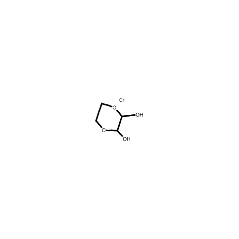 OC1OCCOC1O.[Cr]